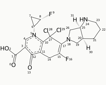 O=C(O)c1cn([C@@H]2C[C@@H]2F)c2c(c1=O)CC(F)=C(N1C[C@@H]3CCCN[C@@H]3C1)C2(Cl)Cl